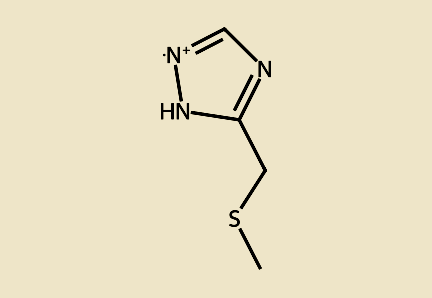 CSCC1=NC=[N+]N1